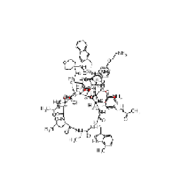 CC[C@@H]1NC(=O)C(CC(N)=O)NC(=O)[C@@H](NC(C)=O)C(C)(C)SSC(C)(C)[C@@H](C(=O)N[C@@H](Cc2ccc(OCCN)cc2)C(=O)N[C@@H](Cc2ccc3ccccc3c2)C(=O)NC2(C(=O)N[C@@H](CCC(=O)O)C(=O)N[C@@H](CC(N)=O)C(=O)N[C@@H](Cc3cccnc3)C(=O)N(C)CC(N)=O)CCOCC2)NC(=O)[C@H](CCCCNC(C)=O)NC(=O)[C@H](Cc2c[nH]c3c(C)cccc23)NC1=O